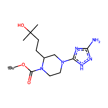 CC(C)(O)CCC1CN(c2nc(N)n[nH]2)CCN1C(=O)OC(C)(C)C